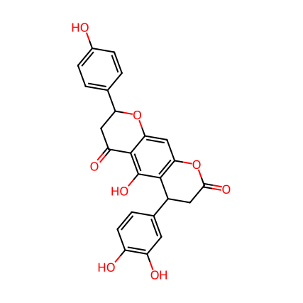 O=C1CC(c2ccc(O)c(O)c2)c2c(cc3c(c2O)C(=O)CC(c2ccc(O)cc2)O3)O1